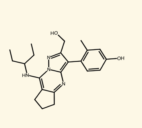 CCC(CC)Nc1c2c(nc3c(-c4ccc(O)cc4C)c(CO)nn13)CCC2